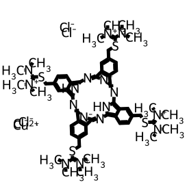 CN(C)C(SCc1ccc2c3[nH]c(c2c1)N=c1[n-]c(c2cc(CSC(N(C)C)=[N+](C)C)ccc12)=Nc1[nH]c(c2cc(CSC(N(C)C)=[N+](C)C)ccc12)N=c1[n-]c(c2cc(CSC(N(C)C)=[N+](C)C)ccc12)=N3)=[N+](C)C.[Cl-].[Cl-].[Cl-].[Cl-].[Cu+2]